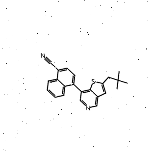 CC(C)(C)Cc1cc2cncc(-c3ccc(C#N)c4ccccc34)c2s1